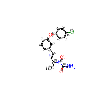 C[C@@H](/C=C/c1cccc(Oc2ccc(Cl)cc2)c1)N(O)C(N)=O